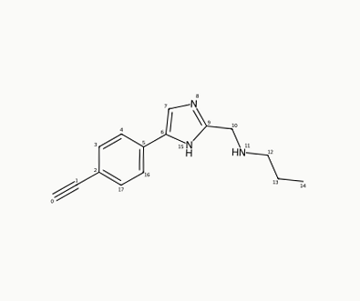 C#Cc1ccc(-c2cnc(CNCCC)[nH]2)cc1